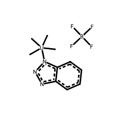 F[B-](F)(F)F.[CH3][U]([CH3])([CH3])([CH3])[n]1nnc2ccccc21